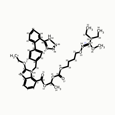 CCOc1nc2cccc(C(=O)OC(C)OC(=O)OCCCCO/N=[N+](\OC)N(CC)CC)c2n1Cc1ccc(-c2ccccc2-c2nnn[nH]2)cc1